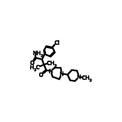 CN1CCC(N2CCN(C(=O)C(C)(C)C(C(N)=O)c3ccc(Cl)cc3)CC2)CC1